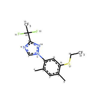 Cc1cc(C)c(-n2cnc(C(F)(F)C(F)(F)F)n2)cc1SCC(F)(F)F